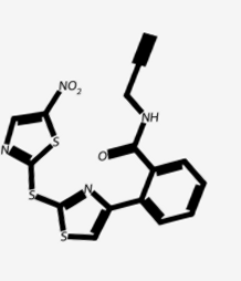 C#CCNC(=O)c1ccccc1-c1csc(Sc2ncc([N+](=O)[O-])s2)n1